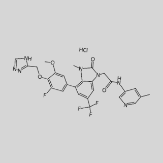 COc1cc(-c2cc(C(F)(F)F)cc3c2n(C)c(=O)n3CC(=O)Nc2cncc(C)c2)cc(F)c1OCc1nnc[nH]1.Cl